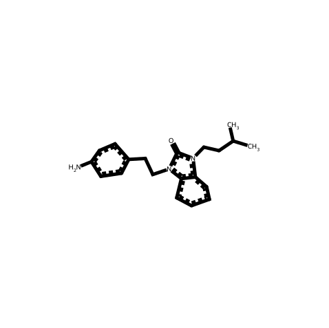 CC(C)CCn1c(=O)n(CCc2ccc(N)cc2)c2ccccc21